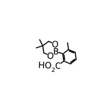 Cc1cccc(C(=O)O)c1B1OCC(C)(C)CO1